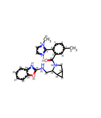 Cc1ccc(-c2nccn2C)c(C(=O)N2CC3CC3C2CNc2nc3ccccc3o2)c1